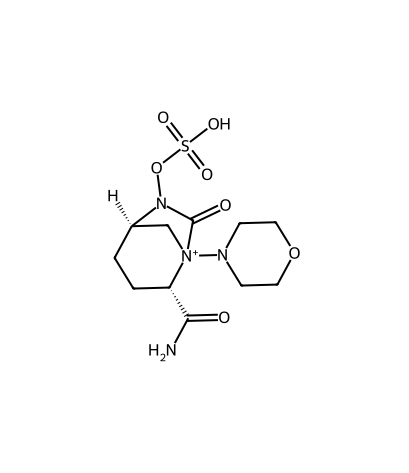 NC(=O)[C@@H]1CC[C@@H]2C[N+]1(N1CCOCC1)C(=O)N2OS(=O)(=O)O